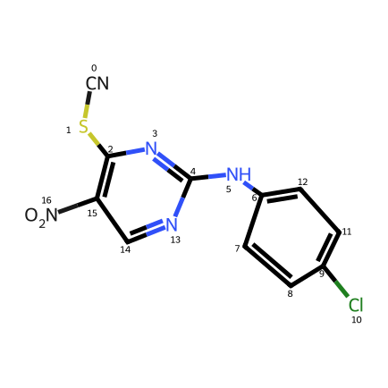 N#CSc1nc(Nc2ccc(Cl)cc2)ncc1[N+](=O)[O-]